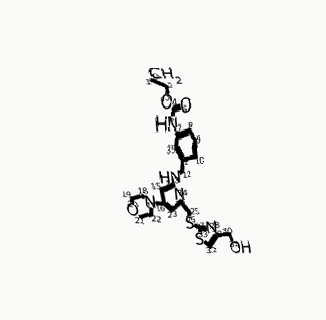 C=CCOC(=O)Nc1cccc(CNc2cc(N3CCOCC3)cc(CSc3nc(CO)cs3)n2)c1